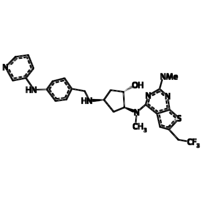 CNc1nc(N(C)[C@H]2C[C@@H](NCc3ccc(Nc4cccnc4)cc3)C[C@@H]2O)c2cc(CC(F)(F)F)sc2n1